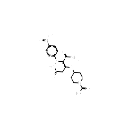 NC(=O)C1=C(OC2CCN(C(=O)O)CC2)CC(=O)NN1c1ccc([N+](=O)[O-])cc1